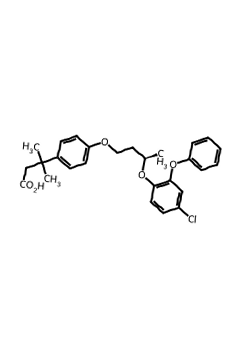 C[C@H](CCOc1ccc(C(C)(C)CC(=O)O)cc1)Oc1ccc(Cl)cc1Oc1ccccc1